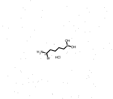 Cl.N[C@H](Br)CCCCB(O)O